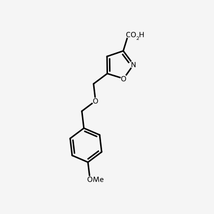 COc1ccc(COCc2cc(C(=O)O)no2)cc1